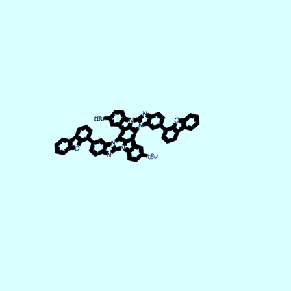 CC(C)(C)c1ccc2c(c1)c1c3c4c(c5cc(C(C)(C)C)ccc5n4c4nc5ccc(-c6cccc7c6oc6ccccc67)cc5n34)c3c1n2c1nc2ccc(-c4cccc5c4oc4ccccc45)cc2n31